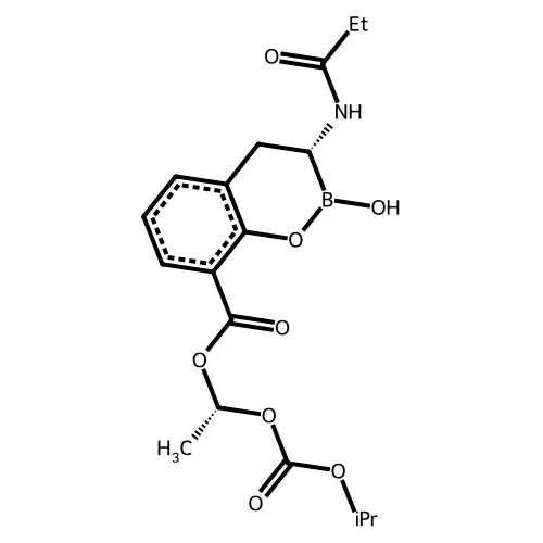 CCC(=O)N[C@H]1Cc2cccc(C(=O)O[C@@H](C)OC(=O)OC(C)C)c2OB1O